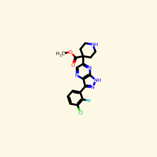 COC(=O)C1(c2cnc3c(-c4cccc(Cl)c4F)n[nH]c3n2)CCNCC1